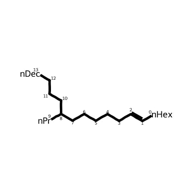 [CH2]CCCCC/C=C/CCCCCC(CCC)CCCCCCCCCCCC[CH2]